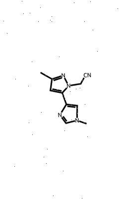 Cc1cc(-c2cn(C)cn2)n(CC#N)n1